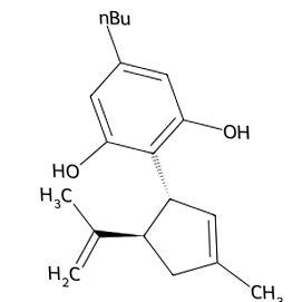 C=C(C)[C@@H]1CC(C)=C[C@H]1c1c(O)cc(CCCC)cc1O